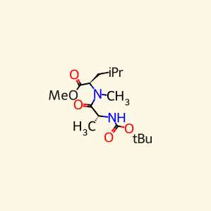 COC(=O)[C@@H](CC(C)C)N(C)C(=O)[C@@H](C)NC(=O)OC(C)(C)C